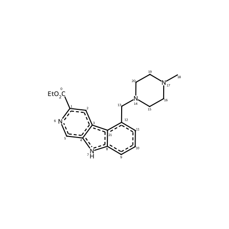 CCOC(=O)c1cc2c(cn1)[nH]c1cccc(CN3CCN(C)CC3)c12